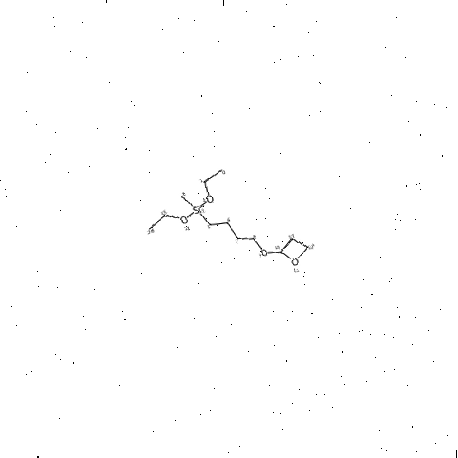 CCO[Si](C)(CCCCOC1CCO1)OCC